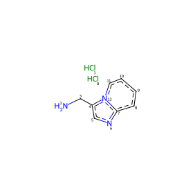 Cl.Cl.NCc1cnc2ccccn12